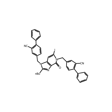 CCCCc1nc2c(=O)n(Cc3ccc(-c4ccccc4)c(C#N)c3)c(I)cc2n1Cc1ccc(-c2ccccc2)c(C#N)c1